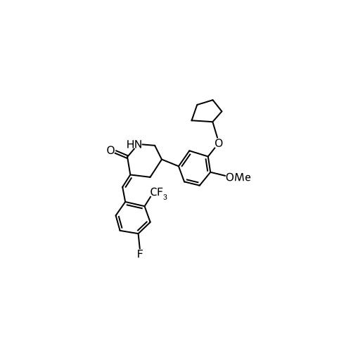 COc1ccc(C2CNC(=O)C(=Cc3ccc(F)cc3C(F)(F)F)C2)cc1OC1CCCC1